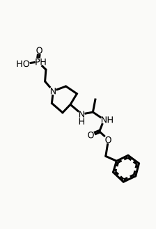 CC(NC(=O)OCc1ccccc1)NC1CCN(CC[PH](=O)O)CC1